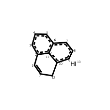 C1=Cc2cccc3cccc(c23)C1.I